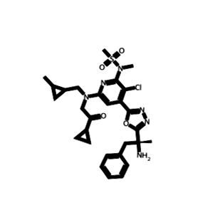 CC1CC1CN(CC(=O)C1CC1)c1cc(-c2nnc([C@](C)(N)Cc3ccccc3)o2)c(Cl)c(N(C)S(C)(=O)=O)n1